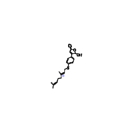 CC(C)=CCC/C(C)=C/CSc1ccc(C2=CC(=O)OC2O)cc1